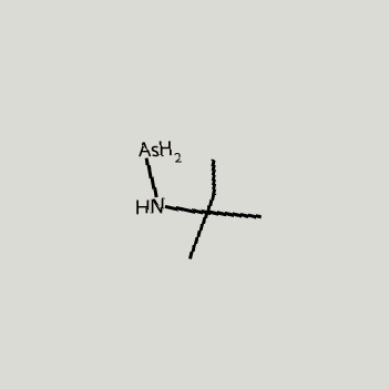 CC(C)(C)N[AsH2]